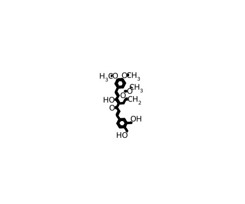 C=C(C/C(C(=O)/C=C/c1ccc(CO)c(CO)c1)=C(O)\C=C\c1ccc(OC)c(OC)c1)OCOC